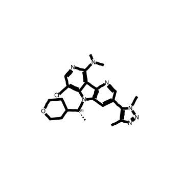 Cc1nnn(C)c1-c1cnc2c3c(N(C)C)ncc(Cl)c3n([C@H](C)C3CCOCC3)c2c1